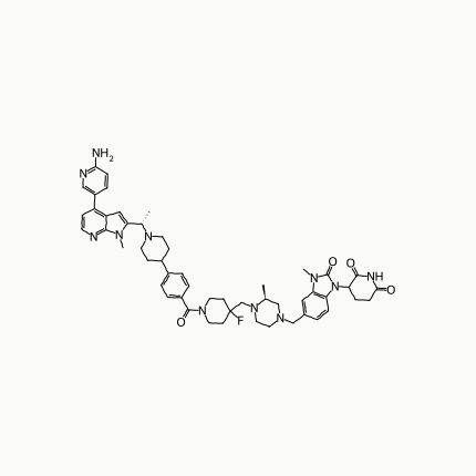 C[C@H]1CN(Cc2ccc3c(c2)n(C)c(=O)n3C2CCC(=O)NC2=O)CCN1CC1(F)CCN(C(=O)c2ccc(C3CCN([C@@H](C)c4cc5c(-c6ccc(N)nc6)ccnc5n4C)CC3)cc2)CC1